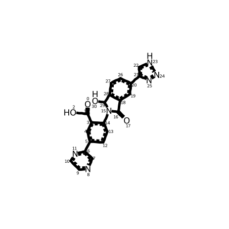 O=C(O)c1cc(-c2cnccn2)ccc1N1C(=O)c2cc(-c3c[nH]nn3)ccc2C1O